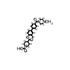 CN1CCN(C(=O)c2ccc(-c3ccc4c(c3)COC(C3CCN(C(=O)O)CC3)O4)cc2)CC1